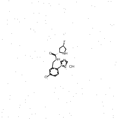 Cl.O=C(NCc1cc(Cl)ccc1-n1cncn1)[C@@H]1C[C@@H](F)CN1